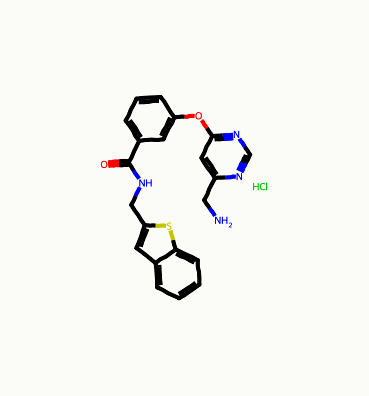 Cl.NCc1cc(Oc2cccc(C(=O)NCc3cc4ccccc4s3)c2)ncn1